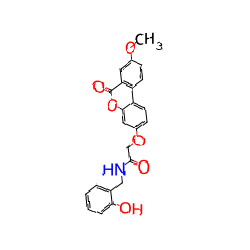 COc1ccc2c(c1)c(=O)oc1cc(OCC(=O)NCc3ccccc3O)ccc12